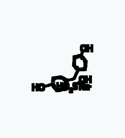 O=S(=O)(O)O.Oc1ccc(Cc2ccc(O)cc2)cc1.[Na]